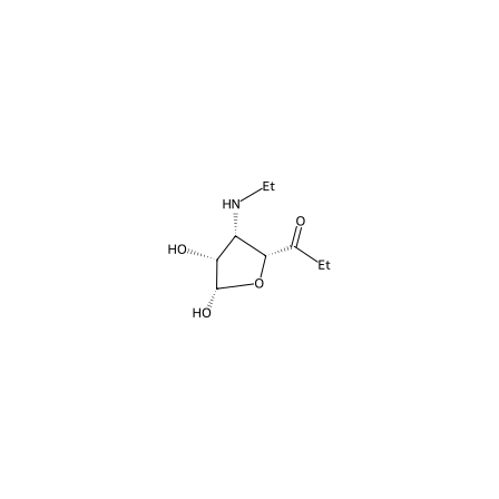 CCN[C@H]1[C@@H](O)[C@@H](O)O[C@H]1C(=O)CC